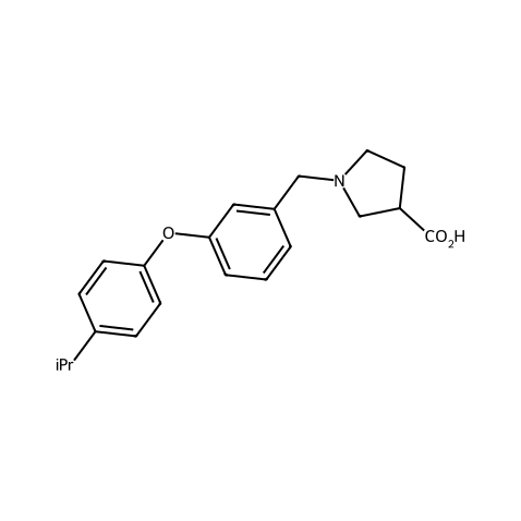 CC(C)c1ccc(Oc2cccc(CN3CCC(C(=O)O)C3)c2)cc1